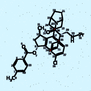 Cc1ccc(C(=O)O[C@@H]2C[C@@H](C)c3c2ncnc3N2CC3CCC(C2)N3C(=O)[C@H](CNC(C)C)c2ccc(Cl)cc2)cc1